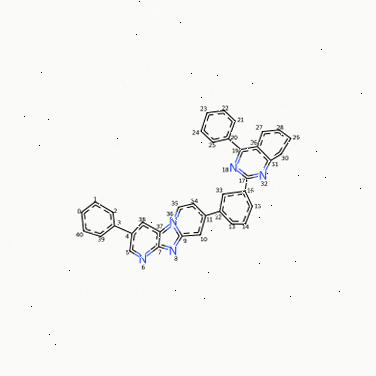 c1ccc(-c2cnc3nc4cc(-c5cccc(-c6nc(-c7ccccc7)c7ccccc7n6)c5)ccn4c3c2)cc1